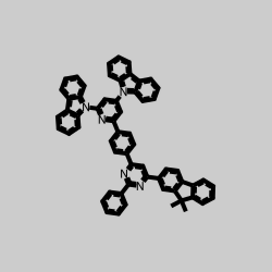 CC1(C)c2ccccc2-c2ccc(-c3cc(-c4ccc(-c5cc(-n6c7ccccc7c7ccccc76)cc(-n6c7ccccc7c7ccccc76)n5)cc4)nc(-c4ccccc4)n3)cc21